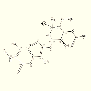 CO[C@@H]1[C@@H](OC(N)=O)[C@@H](O)[C@H](Oc2ccc3c(O)c(NCl)c(=O)oc3c2C)OC1(C)C